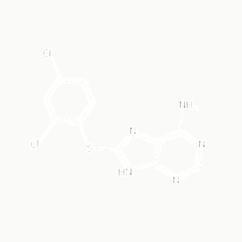 Nc1ncnc2[nH]c(Sc3ccc(Cl)cc3Cl)nc12